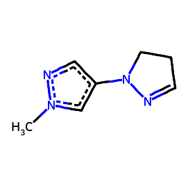 Cn1cc(N2CCC=N2)cn1